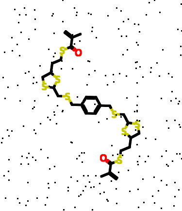 C=C(C)C(=O)SCCC1CSC(CSCc2ccc(CSCC3SCC(CCSC(=O)C(=C)C)S3)cc2)S1